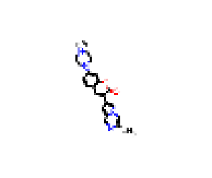 CCCN1CCN(c2ccc3cc(-c4cc5cnc(C)cn5c4)c(=O)oc3c2)CC1